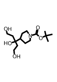 CC(C)(C)OC(=O)N1CCC(C(O)(CCO)CCO)CC1